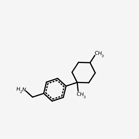 CC1CCC(C)(c2ccc(CN)cc2)CC1